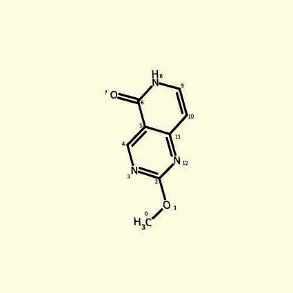 COc1ncc2c(=O)[nH]ccc2n1